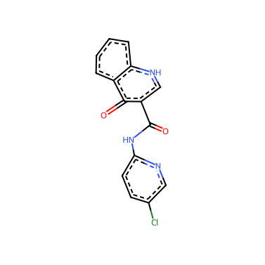 O=C(Nc1ccc(Cl)cn1)c1c[nH]c2ccccc2c1=O